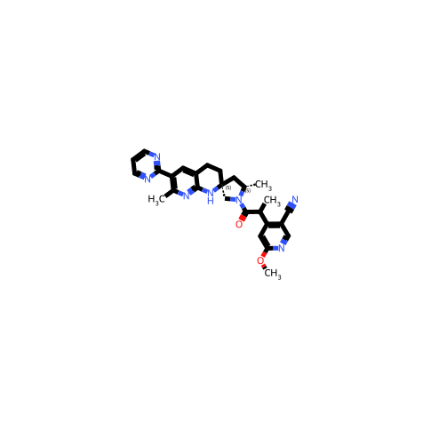 COc1cc(C(C)C(=O)N2C[C@]3(CCc4cc(-c5ncccn5)c(C)nc4N3)C[C@@H]2C)c(C#N)cn1